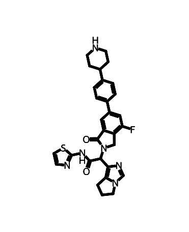 O=C(Nc1nccs1)C(c1ncn2c1CCC2)N1Cc2c(F)cc(-c3ccc(C4CCNCC4)cc3)cc2C1=O